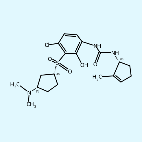 CC1=CCC[C@H]1NC(=O)Nc1ccc(Cl)c(S(=O)(=O)[C@@H]2CC[C@H](N(C)C)C2)c1O